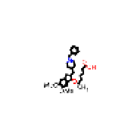 CCCCCCC(=O)O.COc1cc2c(cc1OC)C(=O)C(CC1CCN(Cc3ccccc3)CC1)C2